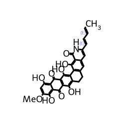 C/C=C/C=C/c1cc2cc3c(c(O)c2c(=O)[nH]1)-c1c(O)c2c(c(O)c1CC3)C(=O)c1c(O)c(OC)cc(O)c1C2=O